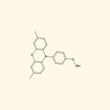 CCCCOc1ccc(N2c3ccc(C)cc3Oc3cc(C)ccc32)cc1